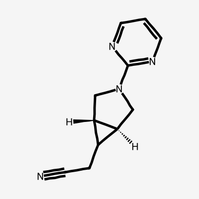 N#CCC1[C@@H]2CN(c3ncccn3)C[C@@H]12